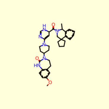 COc1ccc2c(c1)CCN(C1CCN(C3=CC(C(=O)N4CC5(CCCC5)c5ccccc5C4C)NC=N3)CC1)C(=O)N2